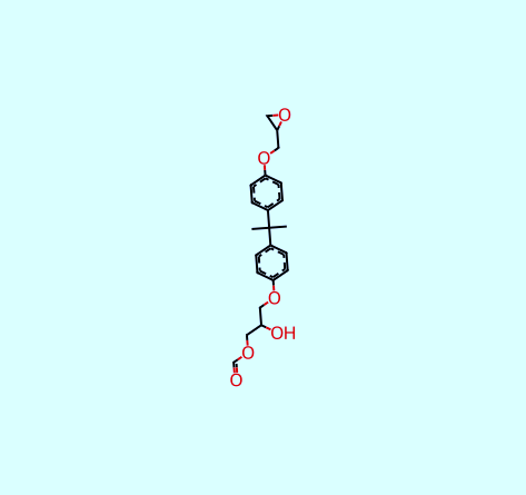 CC(C)(c1ccc(OCC(O)COC=O)cc1)c1ccc(OCC2CO2)cc1